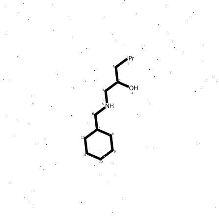 CC(C)CC(O)CNCC1CCCCC1